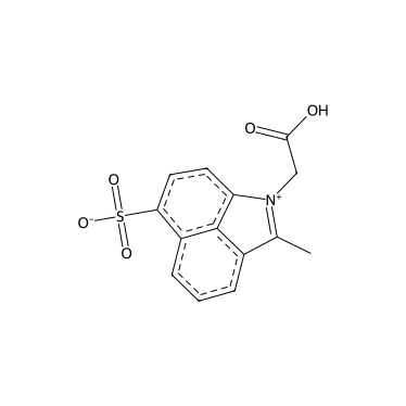 CC1=[N+](CC(=O)O)c2ccc(S(=O)(=O)[O-])c3cccc1c23